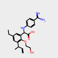 C=CC(C)c1cc(CC)cc(C(Nc2ccc(C(=N)N)cc2)C(=O)O)c1OCCO